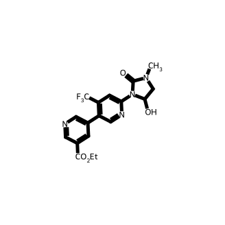 CCOC(=O)c1cncc(-c2cnc(N3C(=O)N(C)CC3O)cc2C(F)(F)F)c1